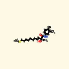 CCCCSCCCCCCCCC[C@](C)(O)C(=O)Nc1ccc(C#N)c(C(F)(F)F)c1